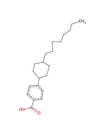 CCCCCCCCC1CCC(c2ccc(C(=O)O)cc2)CC1